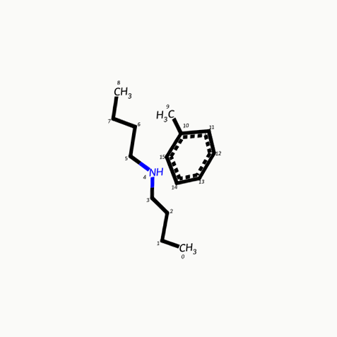 CCCCNCCCC.Cc1ccccc1